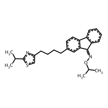 CC(C)O/N=C1/c2ccccc2-c2ccc(CCCCc3csc(C(C)C)n3)cc21